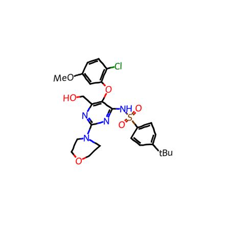 COc1ccc(Cl)c(Oc2c(CO)nc(N3CCOCC3)nc2NS(=O)(=O)c2ccc(C(C)(C)C)cc2)c1